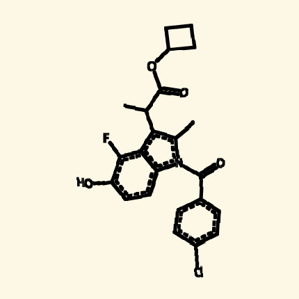 Cc1c(C(C)C(=O)OC2CCC2)c2c(F)c(O)ccc2n1C(=O)c1ccc(Cl)cc1